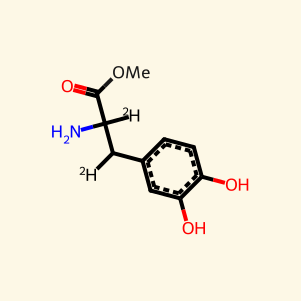 [2H]C(c1ccc(O)c(O)c1)C([2H])(N)C(=O)OC